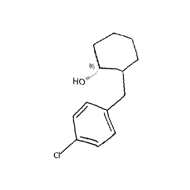 O[C@@H]1CCCCC1Cc1ccc(Cl)cc1